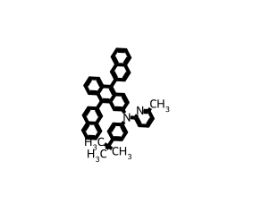 Cc1cccc(N(c2ccc(C(C)(C)C)cc2)c2ccc3c(-c4ccc5ccccc5c4)c4ccccc4c(-c4ccc5ccccc5c4)c3c2)n1